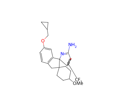 COC1CCC2(CC1)Cc1ccc(OCC3CC3)cc1C21N=C(N)c2ccc(C(F)(F)F)cc21